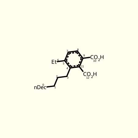 CCCCCCCCCCCCCc1c(CC)ccc(C(=O)O)c1C(=O)O